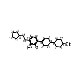 CCC1CCC(C2CC=C(c3ccc(CCC4CCCC4)c(F)c3F)CC2)CC1